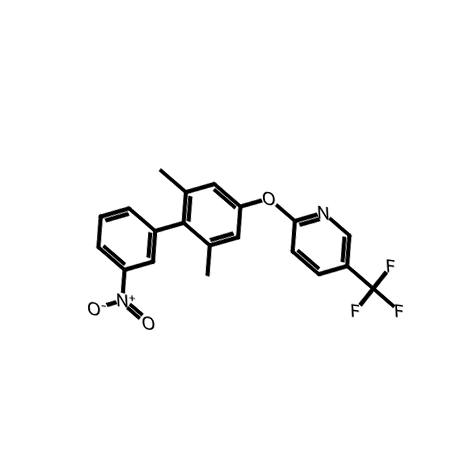 Cc1cc(Oc2ccc(C(F)(F)F)cn2)cc(C)c1-c1cccc([N+](=O)[O-])c1